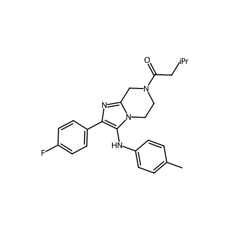 Cc1ccc(Nc2c(-c3ccc(F)cc3)nc3n2CCN(C(=O)CC(C)C)C3)cc1